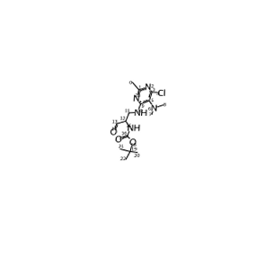 Cc1nc(Cl)c(N(C)C)c(NCC(C=O)NC(=O)OC(C)(C)C)n1